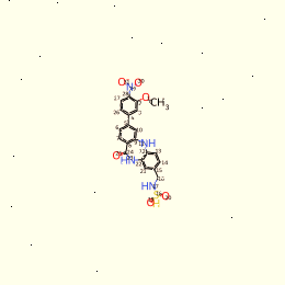 COc1cc(-c2ccc3c(c2)Nc2ccc(CN[SH](=O)=O)cc2NC3=O)ccc1[N+](=O)[O-]